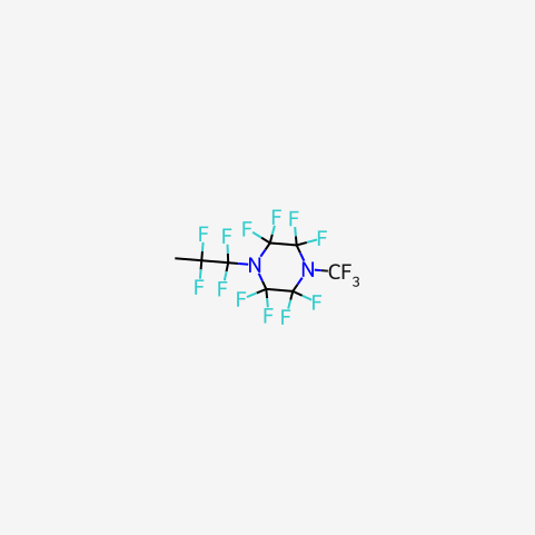 CC(F)(F)C(F)(F)N1C(F)(F)C(F)(F)N(C(F)(F)F)C(F)(F)C1(F)F